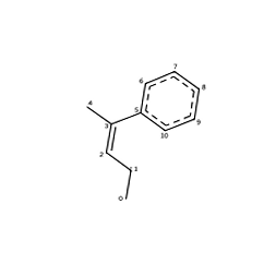 C[CH]/C=C(/C)c1ccccc1